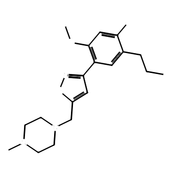 CCCc1cc(-c2cc(CN3CCN(C)CC3)on2)c(OC)cc1F